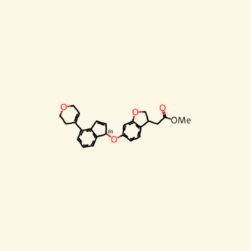 COC(=O)CC1COc2cc(O[C@@H]3C=Cc4c(C5=CCOCC5)cccc43)ccc21